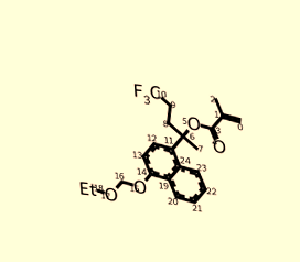 C=C(C)C(=O)OC(C)(CCC(F)(F)F)c1ccc(OCOCC)c2ccccc12